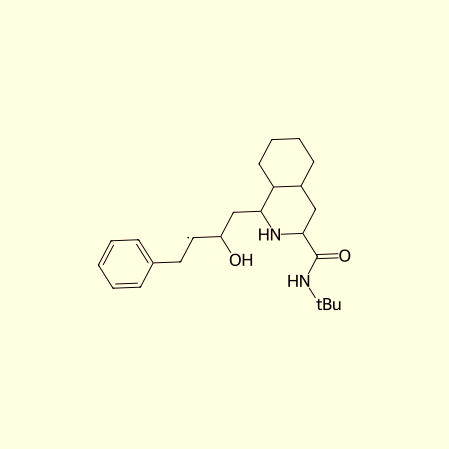 CC(C)(C)NC(=O)C1CC2CCCCC2C(CC(O)[CH]Cc2ccccc2)N1